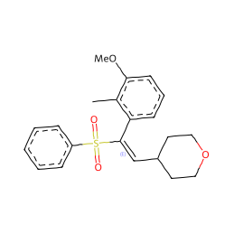 COc1cccc(/C(=C\C2CCOCC2)S(=O)(=O)c2ccccc2)c1C